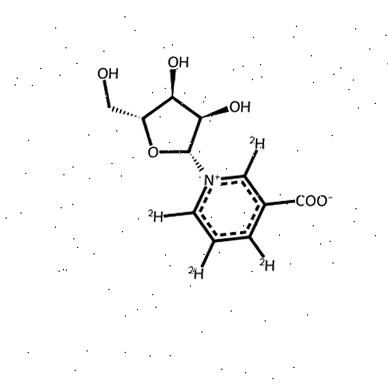 [2H]c1c([2H])c([2H])[n+]([C@@H]2O[C@H](CO)[C@@H](O)[C@H]2O)c([2H])c1C(=O)[O-]